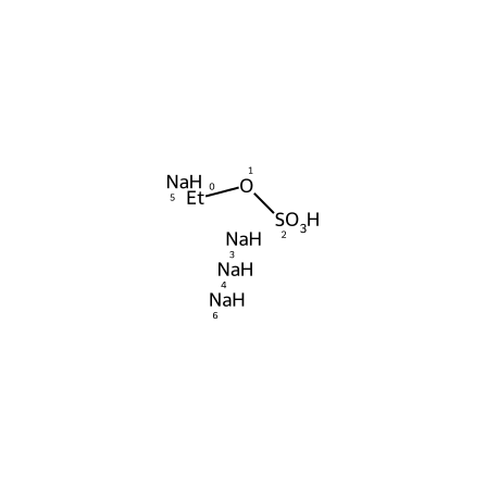 CCOS(=O)(=O)O.[NaH].[NaH].[NaH].[NaH]